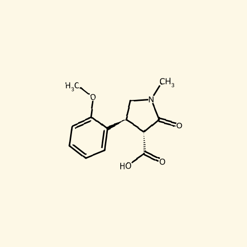 COc1ccccc1[C@H]1CN(C)C(=O)[C@@H]1C(=O)O